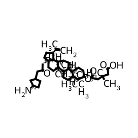 C=C(C)[C@@H]1CC[C@]2(CC(=O)CC3CC[C@@H](N)C3)CC[C@]3(C)[C@H](CC[C@@H]4[C@@]5(C)CC[C@H](OC(=O)CC(C)(C)CC(=O)O)C(C)(C)[C@@H]5CC[C@]43C)[C@@H]12